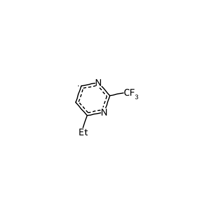 CCc1c[c]nc(C(F)(F)F)n1